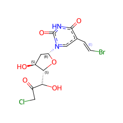 O=C(CCl)C(O)[C@H]1O[C@@H](n2cc(/C=C/Br)c(=O)[nH]c2=O)C[C@@H]1O